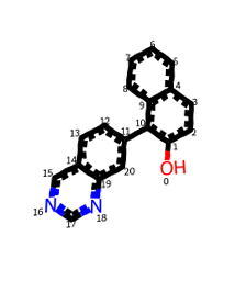 Oc1ccc2ccccc2c1-c1ccc2cncnc2c1